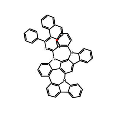 c1ccc(-c2nc(-n3c4cccc5c6cccc7c8ccccc8n(c8cc9c%10ccccc%10n(-c%10ccccc%10)c9c3c8c54)c67)nc3ccc4ccccc4c23)cc1